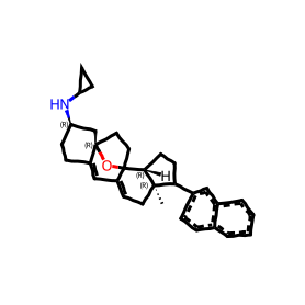 C[C@]12CC=C3C=C4CC[C@@H](NC5CC5)C[C@]45CCC3(O5)[C@@H]1CCC2c1ccc2ccccc2c1